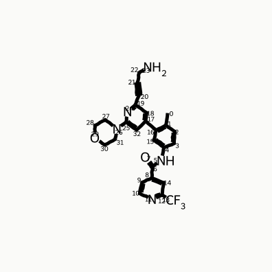 Cc1ccc(NC(=O)c2ccnc(C(F)(F)F)c2)cc1-c1cc(C#CCN)nc(N2CCOCC2)c1